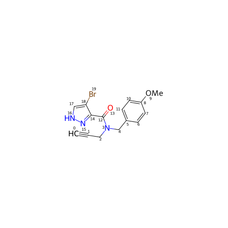 C#CCN(Cc1ccc(OC)cc1)C(=O)c1n[nH]cc1Br